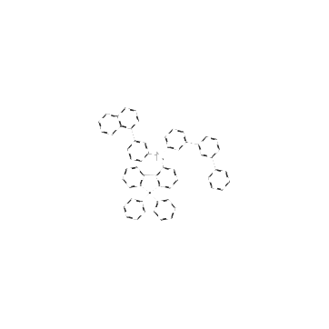 c1ccc(-c2cccc(-c3cccc(N(c4cccc(-c5cccc6ccccc56)c4)c4cccc5c4-c4ccccc4C5(c4ccccc4)c4ccccc4)c3)c2)cc1